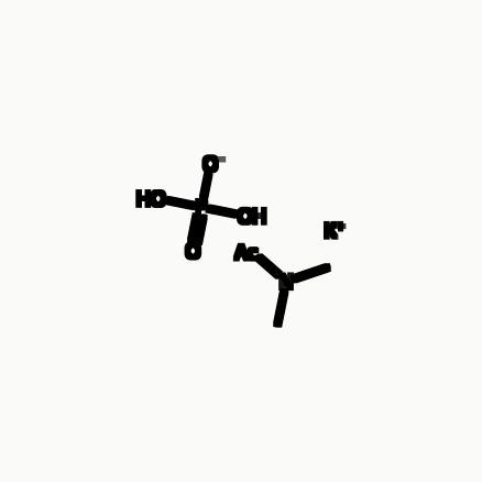 CC(=O)N(C)C.O=P([O-])(O)O.[K+]